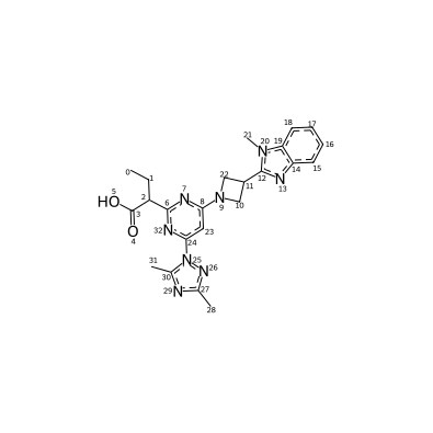 CCC(C(=O)O)c1nc(N2CC(c3nc4ccccc4n3C)C2)cc(-n2nc(C)nc2C)n1